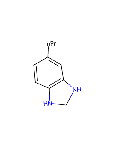 CCCc1ccc2c(c1)NCN2